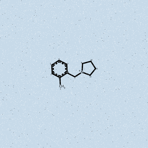 Cc1c[c]ccc1CN1CCCC1